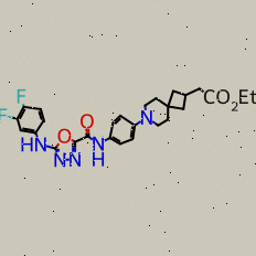 CCOC(=O)CC1CC2(CCN(c3ccc(NC(=O)c4nnc(Nc5ccc(F)c(F)c5)o4)cc3)CC2)C1